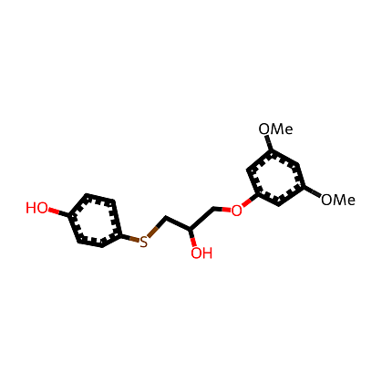 COc1cc(OC)cc(OCC(O)CSc2ccc(O)cc2)c1